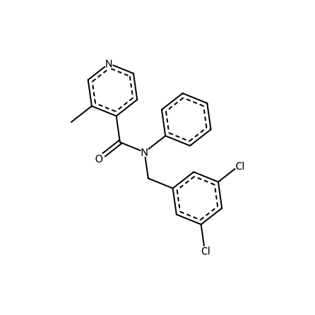 Cc1cnccc1C(=O)N(Cc1cc(Cl)cc(Cl)c1)c1ccccc1